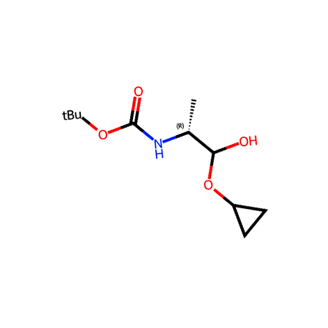 C[C@@H](NC(=O)OC(C)(C)C)C(O)OC1CC1